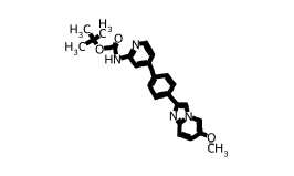 COc1ccc2nc(-c3ccc(-c4ccnc(NC(=O)OC(C)(C)C)c4)cc3)cn2c1